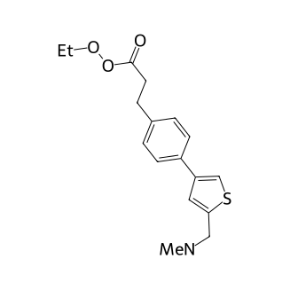 CCOOC(=O)CCc1ccc(-c2csc(CNC)c2)cc1